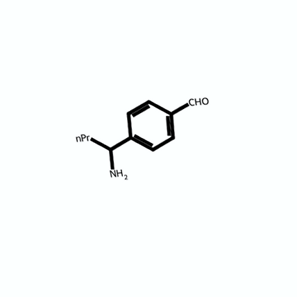 [CH2]CCC(N)c1ccc(C=O)cc1